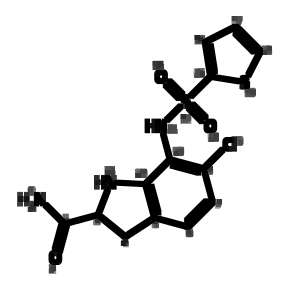 NC(=O)C1Cc2ccc(Cl)c(NS(=O)(=O)c3cccs3)c2N1